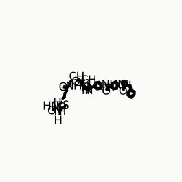 CC(COC(C)CNC(=O)CCCC[C@@H]1SC[C@@H]2NC(=O)N[C@@H]21)Cn1cc(-c2ccc(NC(=O)N3CCC(N4CCN(Cc5ccccc5)C4=O)CC3)cc2)nn1